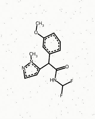 COc1cccc(C(C(=O)NC(F)F)c2ccnn2C)c1